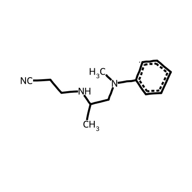 CC(CN(C)c1[c]cccc1)NCCC#N